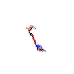 CCCC(CO)CC(O)CC(C)OCCc1ccc(OCCOCCOCCOCCN(N)/C=C(\N)CC(C=O)NC(=O)OC(C)(C)C)cc1